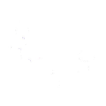 Cn1c(N2CCSCC2)cc(OCc2cc(F)c(Oc3ccc(Cl)c(C(F)(F)F)c3)c(F)c2)nc1=O